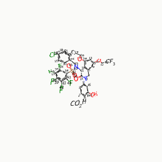 O=C(O)c1ccc(N(Cc2cc(OCC(F)(F)F)cc(OCC(F)(F)F)c2)C(=O)CN(Cc2ccc(Cl)cc2)S(=O)(=O)c2c(F)c(F)c(F)c(F)c2F)cc1O